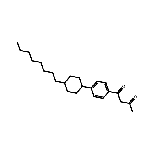 CCCCCCCCC1CCC(c2ccc(C(=O)CC(C)=O)cc2)CC1